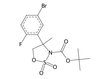 CC(C)(C)OC(=O)N1C(C)(c2cc(Br)ccc2F)COS1(=O)=O